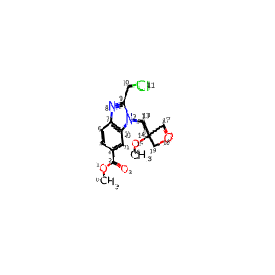 COC(=O)c1ccc2nc(CCl)n(CC3(OC)COC3)c2c1